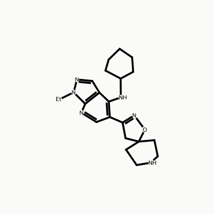 CCn1ncc2c(NC3CCCCC3)c(C3=NOC4(CCNCC4)C3)cnc21